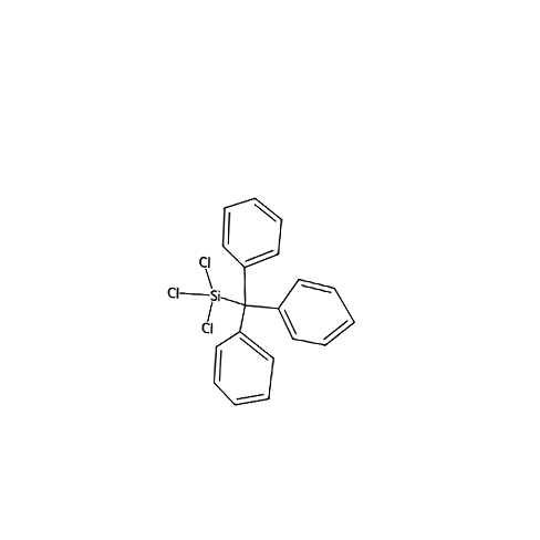 Cl[Si](Cl)(Cl)C(c1ccccc1)(c1ccccc1)c1ccccc1